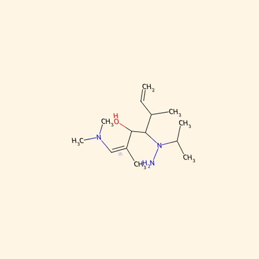 C=CC(C)C(C(O)/C(C)=C\N(C)C)N(N)C(C)C